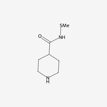 CSNC(=O)C1CCNCC1